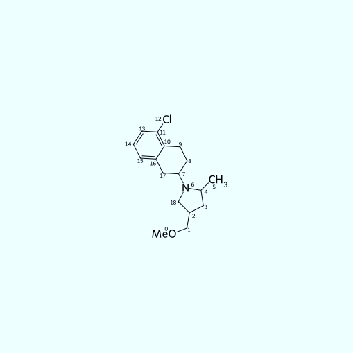 COCC1CC(C)N(C2CCc3c(Cl)cccc3C2)C1